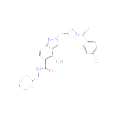 Cc1c(C(=O)NCC2COCCO2)ccc2nn(CC3CN(C(=O)c4ccc(Cl)cc4)C3)cc12